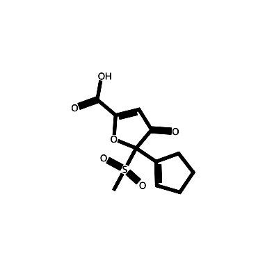 CS(=O)(=O)C1(C2=CCCC2)OC(C(=O)O)=CC1=O